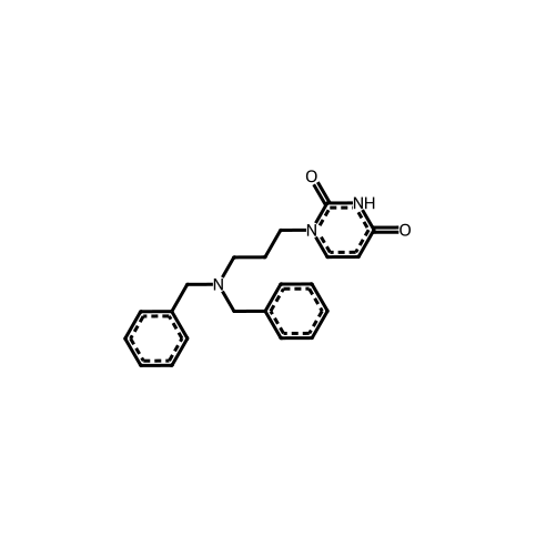 O=c1ccn(CCCN(Cc2ccccc2)Cc2ccccc2)c(=O)[nH]1